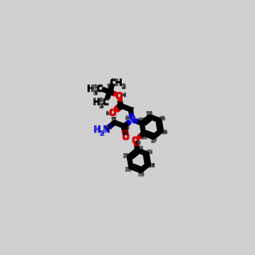 CC(C)(C)OC(=O)CN(C(=O)CN)c1ccccc1Oc1ccccc1